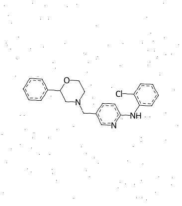 Clc1ccccc1Nc1ccc(CN2CCOC(c3ccccc3)C2)cn1